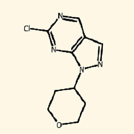 Clc1ncc2cnn(C3CCOCC3)c2n1